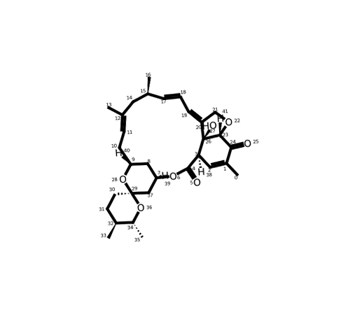 CC1=C[C@H]2C(=O)O[C@H]3C[C@@H](C/C=C(\C)C[C@@H](C)/C=C/C=C4\CO[C@H](C1=O)[C@@]42O)O[C@@]1(CC[C@H](C)[C@@H](C)O1)C3